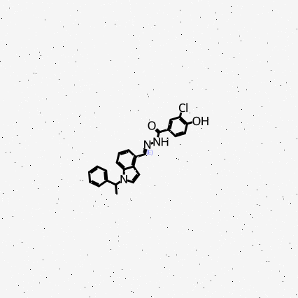 CC(c1ccccc1)n1ccc2c(/C=N/NC(=O)c3ccc(O)c(Cl)c3)cccc21